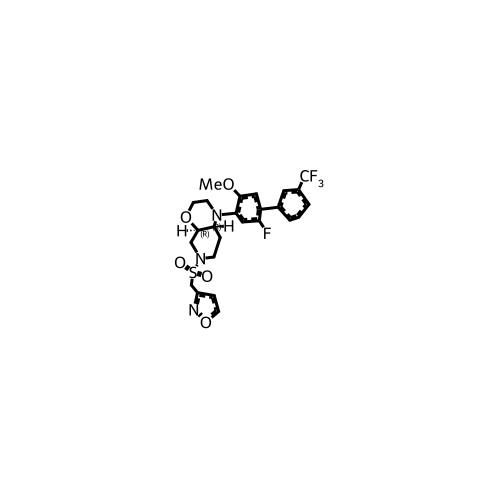 COc1cc(-c2cccc(C(F)(F)F)c2)c(F)cc1N1CCO[C@@H]2CN(S(=O)(=O)Cc3ccon3)CC[C@H]21